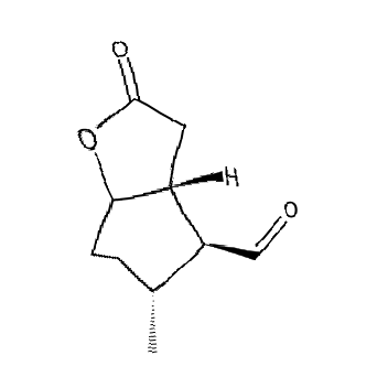 C[C@@H]1CC2OC(=O)C[C@@H]2[C@H]1C=O